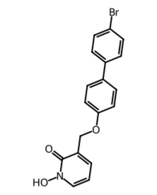 O=c1c(COc2ccc(-c3ccc(Br)cc3)cc2)cccn1O